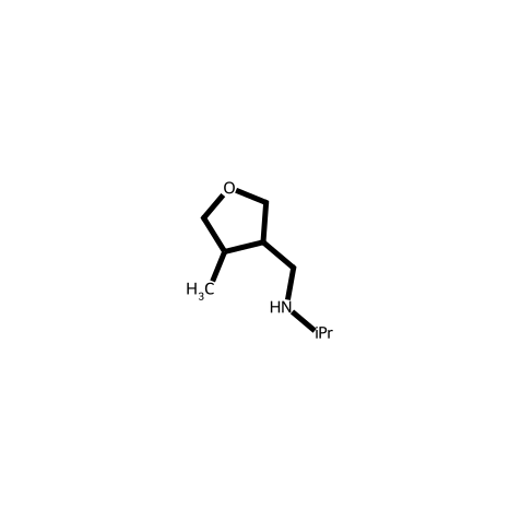 CC(C)NCC1COCC1C